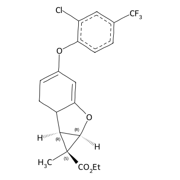 CCOC(=O)[C@]1(C)[C@@H]2OC3=CC(Oc4ccc(C(F)(F)F)cc4Cl)=CCC3[C@@H]21